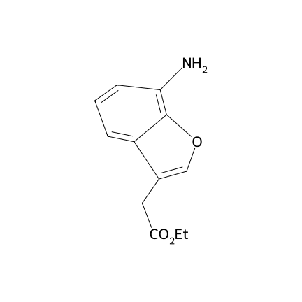 CCOC(=O)Cc1coc2c(N)cccc12